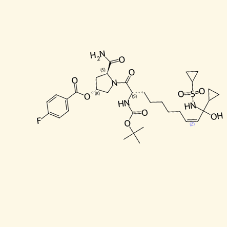 CC(C)(C)OC(=O)N[C@@H](CCCCC/C=C\C(O)(NS(=O)(=O)C1CC1)C1CC1)C(=O)N1C[C@H](OC(=O)c2ccc(F)cc2)C[C@H]1C(N)=O